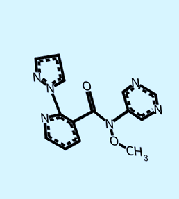 CON(C(=O)c1cccnc1-n1cccn1)c1cncnc1